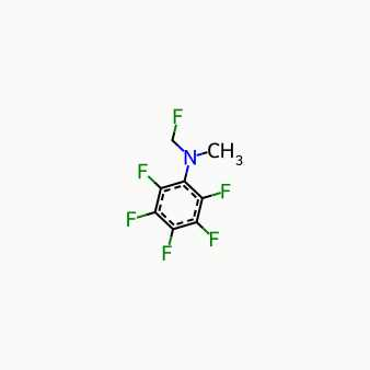 CN(CF)c1c(F)c(F)c(F)c(F)c1F